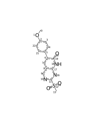 COc1ccc(-c2cc3cnc(S(C)(=O)=O)nc3[nH]c2=O)cc1